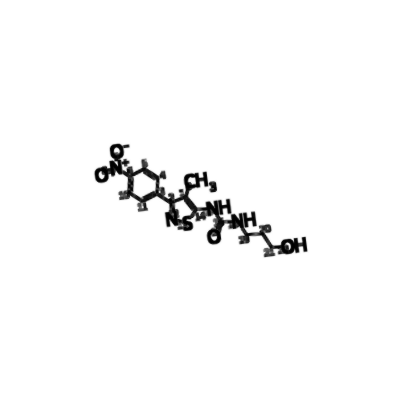 Cc1c(-c2ccc([N+](=O)[O-])cc2)nsc1NC(=O)NCCCO